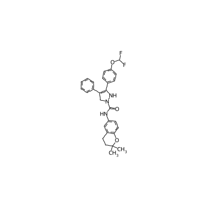 CC1(C)CCc2cc(NC(=O)N3CC(c4ccccc4)=C(c4ccc(OC(F)F)cc4)N3)ccc2O1